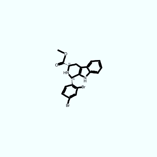 COC(=O)[C@@H]1Cc2c([nH]c3ccccc23)[C@H](c2ccc(Br)cc2Br)N1